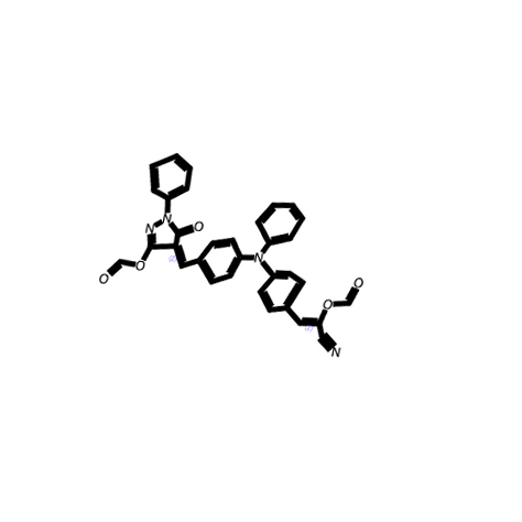 N#C/C(=C/c1ccc(N(c2ccccc2)c2ccc(/C=C3\C(=O)N(c4ccccc4)N=C3OC=O)cc2)cc1)OC=O